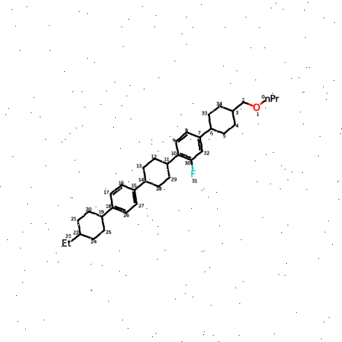 CCCOCC1CCC(c2ccc(C3CCC(c4ccc(C5CCC(CC)CC5)cc4)CC3)c(F)c2)CC1